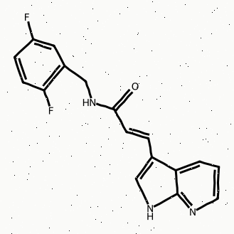 O=C(C=Cc1c[nH]c2ncccc12)NCc1cc(F)ccc1F